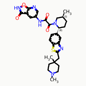 C[C@H]1CC[C@H](c2ccc3sc(CC4(C)CCN(C)CC4)nc3c2)N(C(=O)C(=O)Nc2cnc3o[nH]c(=O)c3c2)C1